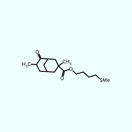 CSCCCCOC(=O)C1(C)CC2CC(C)C(=O)C(C2)C1